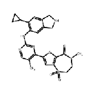 CN1CCS(=O)(=O)c2cc(-c3nc(Nc4cc5c(cc4C4CC4)CNC5)ncc3C(F)(F)F)sc2C1=O